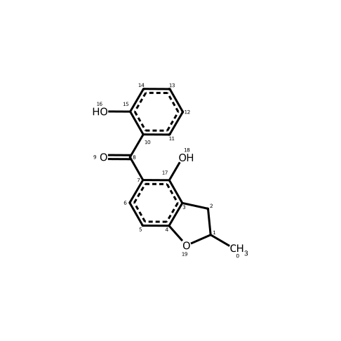 CC1Cc2c(ccc(C(=O)c3ccccc3O)c2O)O1